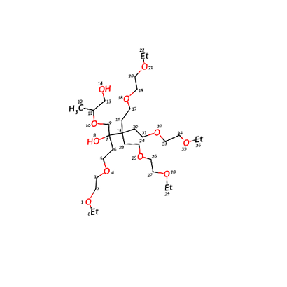 CCOCCOCCC(O)(COC(C)CO)C(CCOCCOCC)(CCOCCOCC)CCOCCOCC